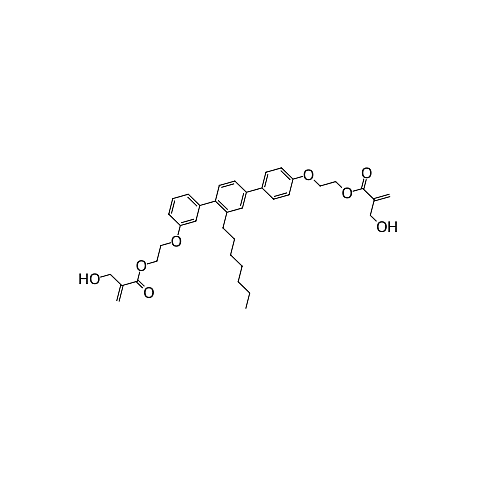 C=C(CO)C(=O)OCCOc1ccc(-c2ccc(-c3cccc(OCCOC(=O)C(=C)CO)c3)c(CCCCCCC)c2)cc1